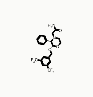 NC(=O)CN1CCO[C@H](OCc2cc(C(F)(F)F)cc(C(F)(F)F)c2)[C@H]1c1ccccc1